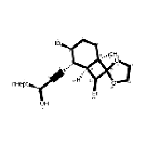 CCCCCCC[C@H](O)C#C[C@@H]1[C@@H](O)CC[C@]2(C)[C@H]1C(CC)C21OCCO1